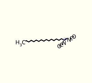 CCCCCCCCCCCCCCCC/C(=C/N=C=O)N=C=O